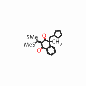 CSC(SC)=C1C(=O)c2ccccc2C(C)(CC2CCCC2)C1=O